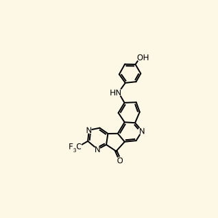 O=C1c2cnc3ccc(Nc4ccc(O)cc4)cc3c2-c2cnc(C(F)(F)F)nc21